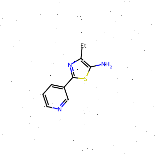 CCc1nc(-c2cccnc2)sc1N